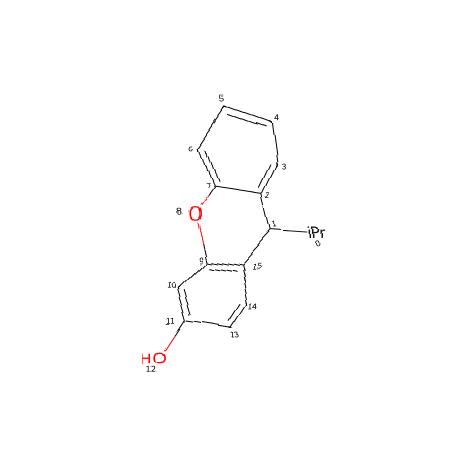 CC(C)C1c2ccccc2Oc2cc(O)ccc21